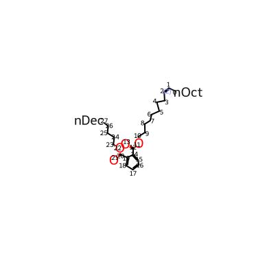 CCCCCCCC/C=C\CCCCCCCCOC(=O)c1ccccc1C(=O)OCCCCCCCCCCCCCC